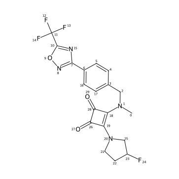 CN(Cc1ccc(-c2noc(C(F)(F)F)n2)cc1)c1c(N2CCC(F)C2)c(=O)c1=O